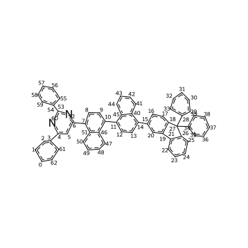 c1ccc(-c2cc(-c3ccc(-c4ccc(-c5ccc6c(c5)-c5ccccc5C6(c5ccccc5)c5ccccc5)c5ccccc45)c4ccccc34)nc(-c3ccccc3)n2)cc1